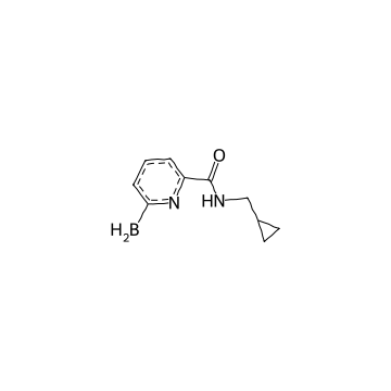 Bc1cccc(C(=O)NCC2CC2)n1